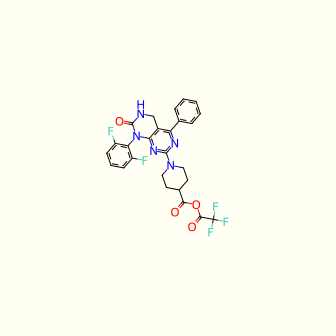 O=C(OC(=O)C(F)(F)F)C1CCN(c2nc(-c3ccccc3)c3c(n2)N(c2c(F)cccc2F)C(=O)NC3)CC1